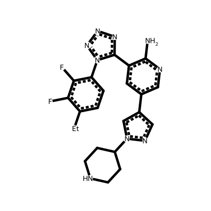 CCc1ccc(-n2nnnc2-c2cc(-c3cnn(C4CCNCC4)c3)cnc2N)c(F)c1F